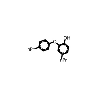 CCCc1ccc(Oc2cc(CCC)ccc2O)cc1